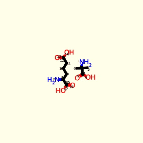 CC(C)(N)C(=O)O.NC(CCCC(=O)O)C(=O)O